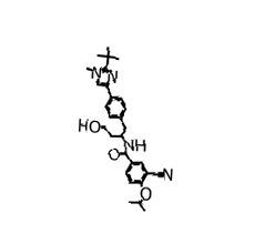 CC(C)Oc1ccc(C(=O)NC(CCO)Cc2ccc(-c3cn(C)c(C(C)(C)C)n3)cc2)cc1C#N